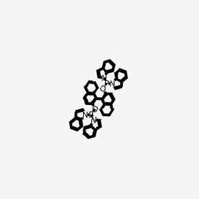 c1ccc2c(c1)ccn2P(Oc1ccc2c(c1-c1c(OP(n3ccc4ccccc43)n3ccc4ccccc43)ccc3c1CCCC3)CCCC2)n1ccc2ccccc21